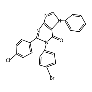 O=c1c2c(ncn2-c2ccccc2)nc(-c2ccc(Cl)cc2)n1-c1ccc(Br)cc1